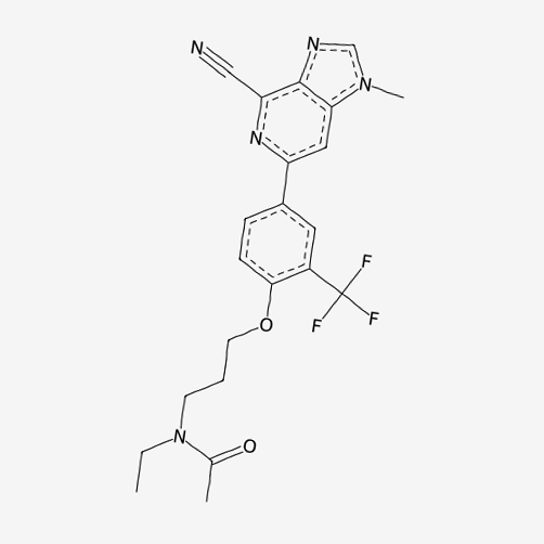 CCN(CCCOc1ccc(-c2cc3c(ncn3C)c(C#N)n2)cc1C(F)(F)F)C(C)=O